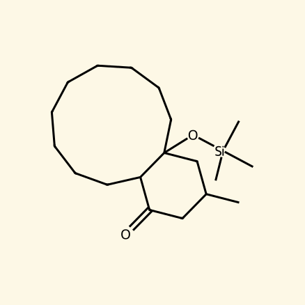 CC1CC(=O)C2CCCCCCCCCC2(O[Si](C)(C)C)C1